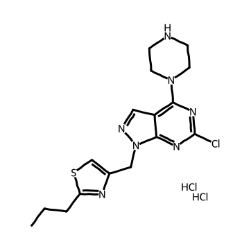 CCCc1nc(Cn2ncc3c(N4CCNCC4)nc(Cl)nc32)cs1.Cl.Cl